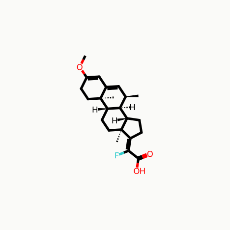 COC1=CC2=C[C@@H](C)[C@@H]3[C@H](CC[C@]4(C)C(=C(F)C(=O)O)CC[C@@H]34)[C@@]2(C)CC1